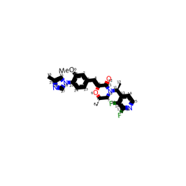 COc1cc(C=C2O[C@@H](C)CN([C@@H](C)c3ccnc(F)c3F)C2=O)ccc1-n1cnc(C)c1